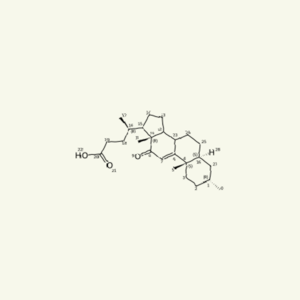 C[C@@H]1CC[C@]2(C)C3=CC(=O)[C@@]4(C)C(CCC4[C@H](C)CCC(=O)O)C3CC[C@H]2C1